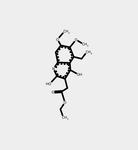 CCOC(=O)Cc1c(O)nc2cc(OC)c(OC)c(CC)c2c1O